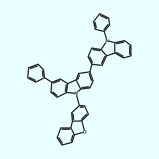 c1ccc(-c2ccc3c(c2)c2cc(-c4ccc5c(c4)c4ccccc4n5-c4ccccc4)ccc2n3-c2ccc3oc4ccccc4c3c2)cc1